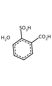 O.O=C(O)c1ccccc1S(=O)(=O)O